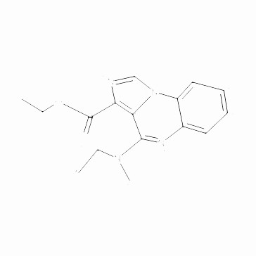 CCOC(=O)c1ncn2c1c(N(C)CC)nc1ccccc12